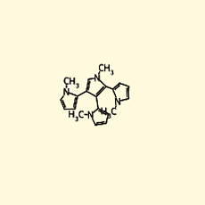 Cn1cccc1-c1cn(C)c(-c2cccn2C)c1-c1cccn1C